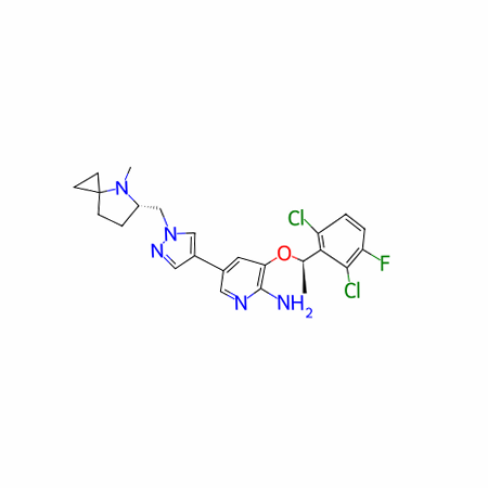 C[C@@H](Oc1cc(-c2cnn(C[C@@H]3CCC4(CC4)N3C)c2)cnc1N)c1c(Cl)ccc(F)c1Cl